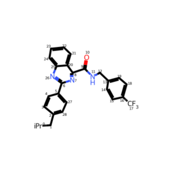 CC(C)Cc1ccc(-c2nc(C(=O)NCc3ccc(C(F)(F)F)cc3)c3ccccc3n2)cc1